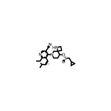 CCc1ncc(C#N)c(N2CCC(OS(=O)CC3CC3)C3(CCN3)C2)c1/C=C\C(C)C